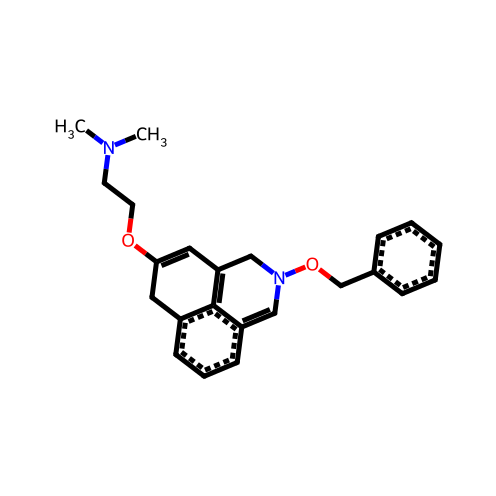 CN(C)CCOC1=CC2=c3c(cccc3=CN(OCc3ccccc3)C2)C1